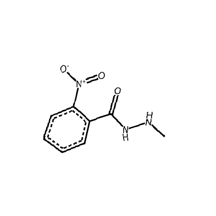 CNNC(=O)c1ccccc1[N+](=O)[O-]